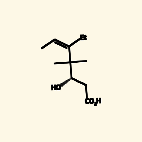 CC=C(CC)C(C)(C)[C@@H](O)CC(=O)O